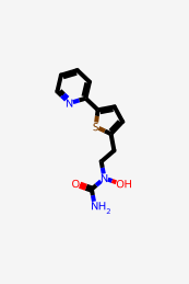 NC(=O)N(O)CCc1ccc(-c2ccccn2)s1